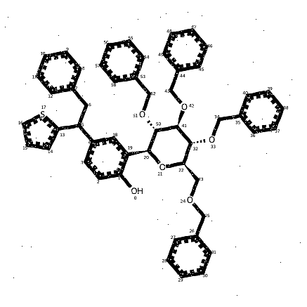 Oc1ccc(C(Cc2ccccc2)c2cccs2)cc1[C@@H]1O[C@H](COCc2ccccc2)[C@@H](OCc2ccccc2)[C@H](OCc2ccccc2)[C@H]1OCc1ccccc1